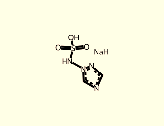 O=S(=O)(O)Nn1cncn1.[NaH]